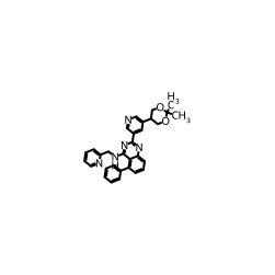 CC1(C)OCC(c2cncc(-c3nc(NCc4ccccn4)c4c(-c5ccccc5)cccc4n3)c2)CO1